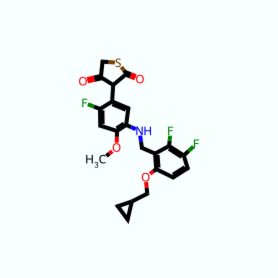 COc1cc(F)c(C2C(=O)CSC2=O)cc1NCc1c(OCC2CC2)ccc(F)c1F